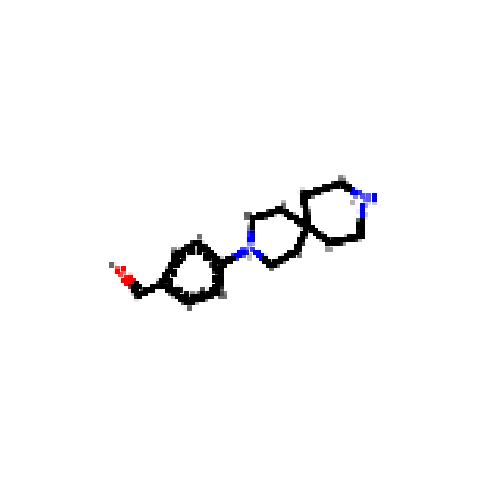 O=Cc1ccc(N2CCC3(CCNCC3)CC2)cc1